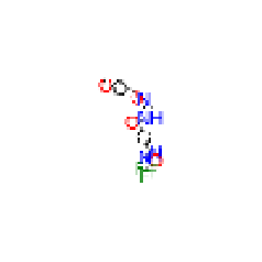 COc1ccc(CON=C(C)CNC(=O)c2ccc(-c3noc(C(F)(F)F)n3)cc2)cc1